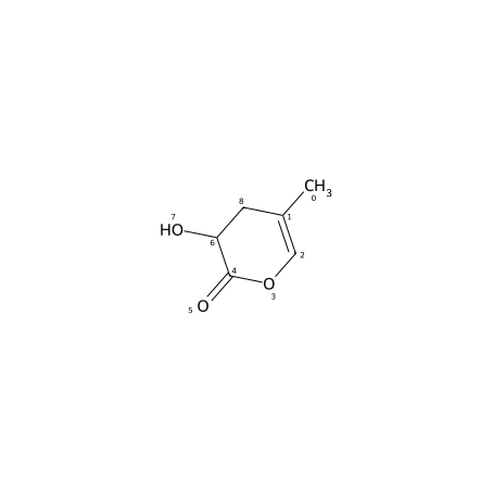 CC1=COC(=O)C(O)C1